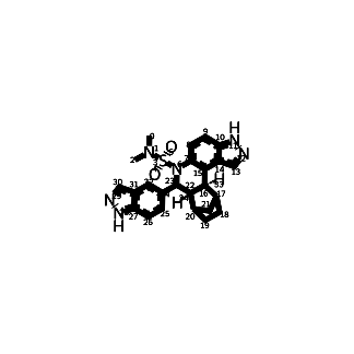 CN(C)S(=O)(=O)N1c2ccc3[nH]ncc3c2[C@H]2C3CCC(C3)[C@H]2C1c1ccc2[nH]ncc2c1